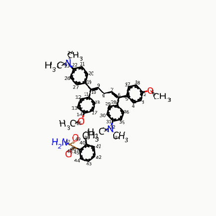 COc1ccc(C(=CCC=C(c2ccc(OC)cc2)c2ccc(N(C)C)cc2)c2ccc(N(C)C)cc2)cc1.Cc1ccccc1S(N)(=O)=O